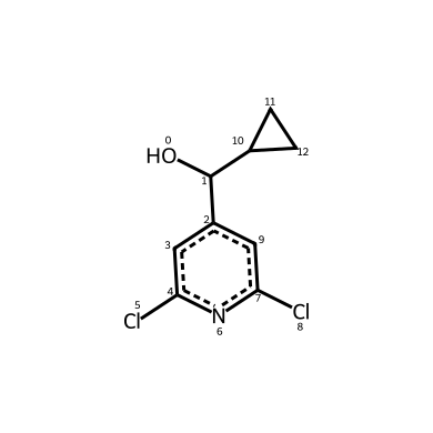 OC(c1cc(Cl)nc(Cl)c1)C1CC1